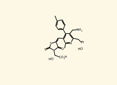 Cc1ccc(-c2c(/C=C3/SC(=S)N(CC(=O)O)C3=O)c(C)nc(CC(C)C)c2CN)cc1.Cl.Cl